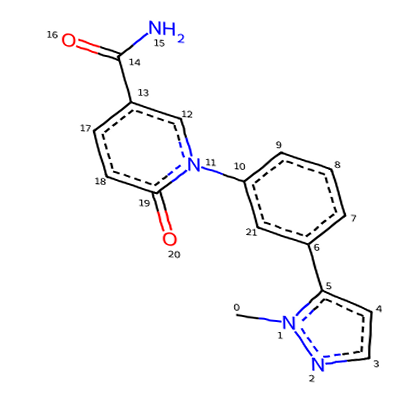 Cn1nccc1-c1cccc(-n2cc(C(N)=O)ccc2=O)c1